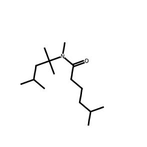 CC(C)CCCC(=O)N(C)C(C)(C)CC(C)C